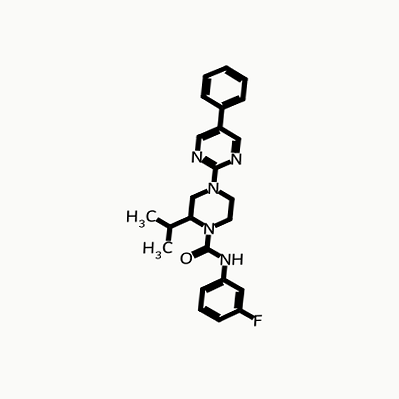 CC(C)C1CN(c2ncc(-c3ccccc3)cn2)CCN1C(=O)Nc1cccc(F)c1